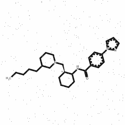 CCCCCC1CCCN(C[C@@H]2CCCCC2NC(=O)c2ccc(-n3cccn3)cc2)C1